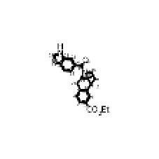 CCOC(=O)c1ccc2c(c1)[C@]1(C)CCN(C(=O)c3ccc4nc[nH]c4c3)C(C2)[C@H]1C